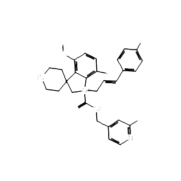 O=C(NCc1ccnc(Cl)c1)[N+]1(C/C=C/c2ccc(Cl)cc2)CC2(CCNCC2)c2c(OC(F)(F)F)ccc(Cl)c21